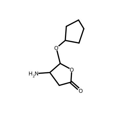 NC1CC(=O)OC1OC1CCCC1